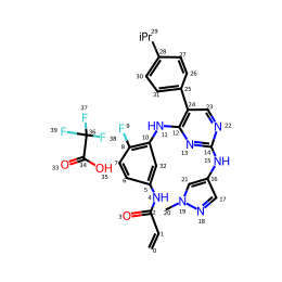 C=CC(=O)Nc1ccc(F)c(Nc2nc(Nc3cnn(C)c3)ncc2-c2ccc(C(C)C)cc2)c1.O=C(O)C(F)(F)F